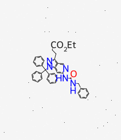 CCOC(=O)CCc1nn(C(c2ccccc2)(c2ccccc2)c2ccccc2)c2cc(NC(=O)NCc3ccccc3)ncc12